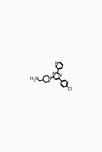 NCC1CCN(c2cc(-c3ccc(Cl)cc3)nc(-c3cccnc3)n2)CC1